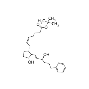 CC(C)(C)OC(=O)CCC/C=C\C[C@H]1CC[C@@H](O)C1/C=C/[C@@H](O)CCCc1ccccc1